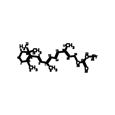 CC(C=CC1=C(C)CCCC1(C)C)=CC=CC(C)=CCOC(=O)OC(C)C